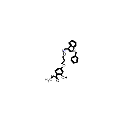 COC(=O)c1ccc(OCCCO/N=C\c2cn(Cc3ccccc3)c3ccccc23)cc1O